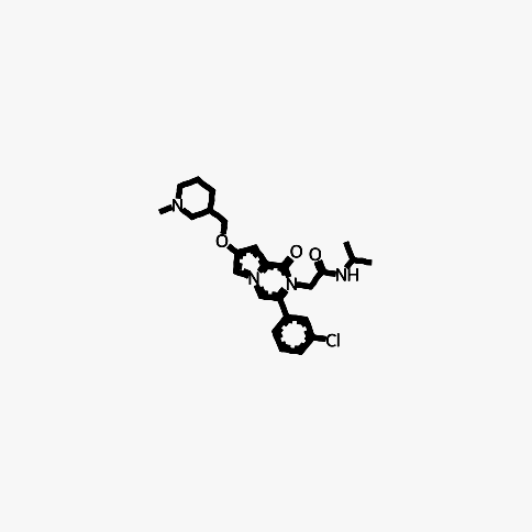 CC(C)NC(=O)Cn1c(-c2cccc(Cl)c2)cn2cc(OCC3CCCN(C)C3)cc2c1=O